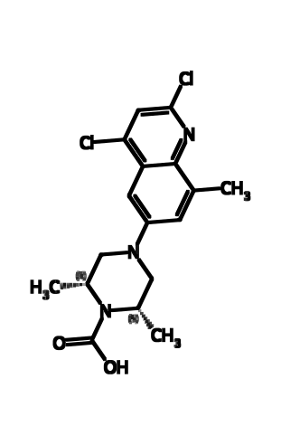 Cc1cc(N2C[C@@H](C)N(C(=O)O)[C@@H](C)C2)cc2c(Cl)cc(Cl)nc12